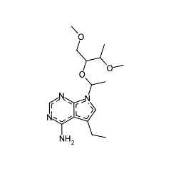 CCc1cn(C(C)OC(COC)C(C)OC)c2ncnc(N)c12